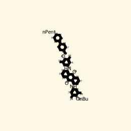 CCCCCC1CCC(C2CCC(COc3c(C)cc(Nc4cccc5c4C(=O)c4cccc(Nc6cc(C)c(OCCCC)c(C)c6)c4C5=O)cc3C)CC2)CC1